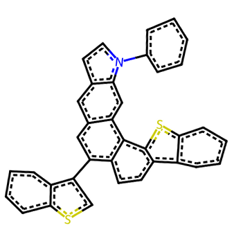 c1ccc(-n2ccc3cc4cc(-c5csc6ccccc56)c5ccc6c7ccccc7sc6c5c4cc32)cc1